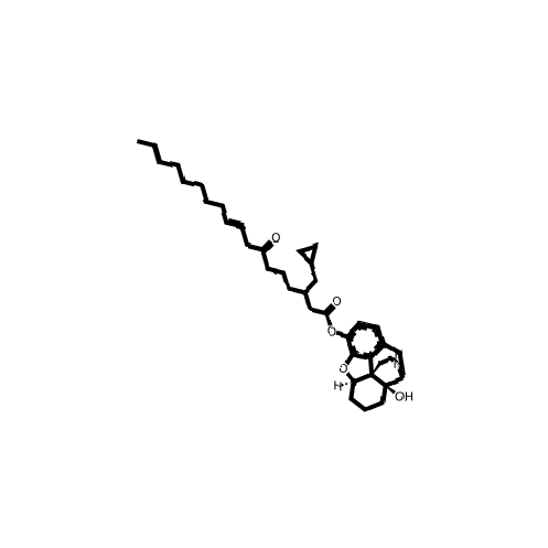 CCCCCCCC/C=C/CC(=O)CCCC(CC(=O)Oc1ccc2c3c1O[C@@H]1CCC[C@@]4(O)C(C2)NCC[C@]314)CC1CC1